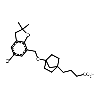 CC1(C)Cc2cc(Cl)cc(COC34CCC(CCCC(=O)O)(CC3)C4)c2O1